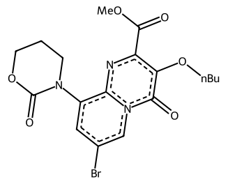 CCCCOc1c(C(=O)OC)nc2c(N3CCCOC3=O)cc(Br)cn2c1=O